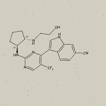 N#Cc1ccc2c(-c3nc(N[C@H]4CCC[C@@H]4NCCO)ncc3C(F)(F)F)c[nH]c2c1